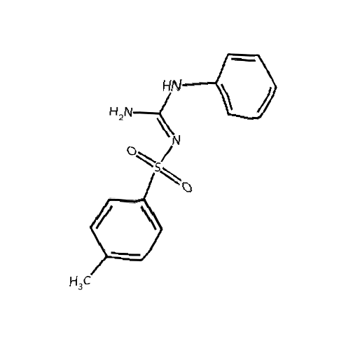 Cc1ccc(S(=O)(=O)/N=C(\N)Nc2ccccc2)cc1